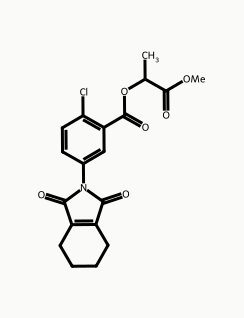 COC(=O)C(C)OC(=O)c1cc(N2C(=O)C3=C(CCCC3)C2=O)ccc1Cl